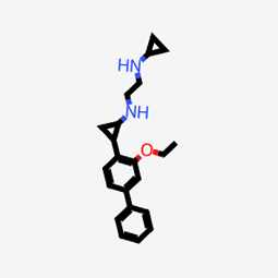 CCOc1cc(-c2ccccc2)ccc1C1CC1NCCNC1CC1